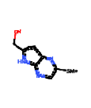 CSc1cnc2[nH]c(CO)cc2n1